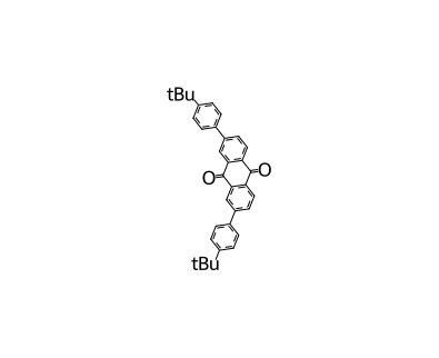 CC(C)(C)c1ccc(-c2ccc3c(c2)C(=O)c2cc(-c4ccc(C(C)(C)C)cc4)ccc2C3=O)cc1